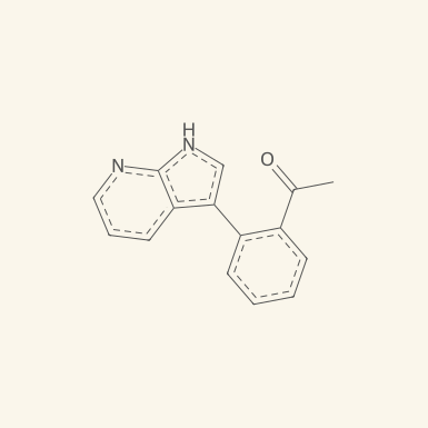 CC(=O)c1ccccc1-c1c[nH]c2ncccc12